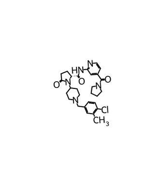 Cc1cc(CN2CCC(N3C(=O)CC[C@@H]3C(=O)Nc3cc(C(=O)N4CCCC4)ccn3)CC2)ccc1Cl